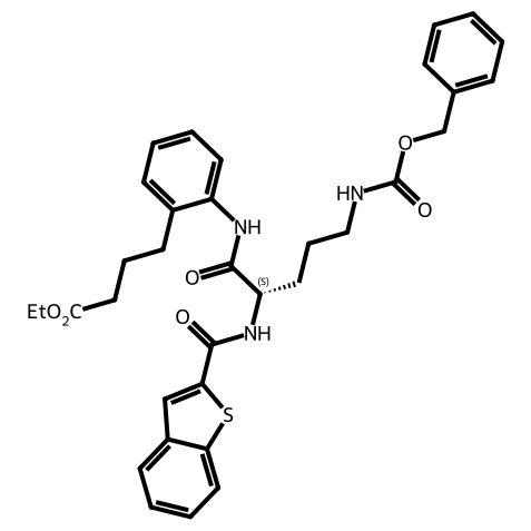 CCOC(=O)CCCc1ccccc1NC(=O)[C@H](CCCNC(=O)OCc1ccccc1)NC(=O)c1cc2ccccc2s1